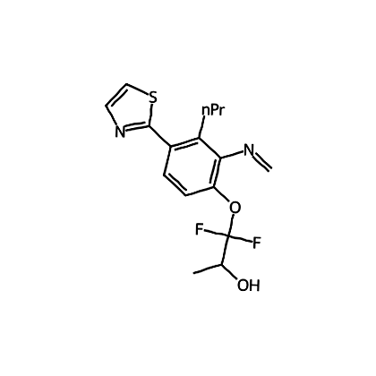 C=Nc1c(OC(F)(F)C(C)O)ccc(-c2nccs2)c1CCC